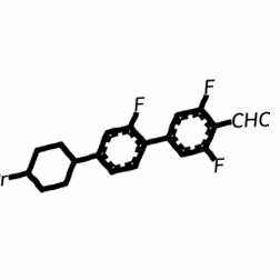 CCCC1CCC(c2ccc(-c3cc(F)c(C=O)c(F)c3)c(F)c2)CC1